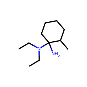 CCN(CC)C1(N)CCCCC1C